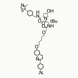 Cc1ncsc1-c1ccc(CNC(=O)[C@@H]2C[C@@H](O)CN2C(=O)[C@@H](NC(=O)COCCCCCOc2ccc3nc(-c4ccc(N(C)C)cc4)ccc3c2)C(C)(C)C)cc1